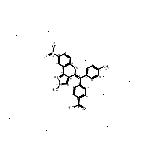 CC(=O)c1ccc(/C(=C2/Oc3ccc([N+](=O)[O-])cc3-c3nn(C)cc32)c2ccc(C)cc2)cc1